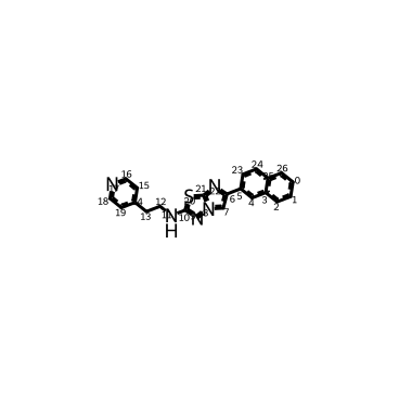 c1ccc2cc(-c3cn4nc(NCCc5ccncc5)sc4n3)ccc2c1